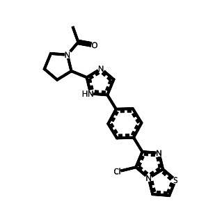 CC(=O)N1CCCC1c1ncc(-c2ccc(-c3nc4sccn4c3Cl)cc2)[nH]1